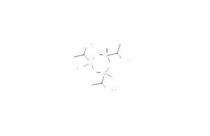 CCC[Si]1(C(C)OC)O[Si](CCC)(C(C)OC)O[Si](CCC)(C(C)OC)O1